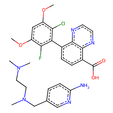 CN(C)CCN(C)Cc1ccc(N)nc1.COc1cc(OC)c(Cl)c(-c2ccc(C(=O)O)c3nccnc23)c1F